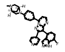 CN1C[C@@H]2C[C@H]1CN2c1ccc(-c2ccnc3c(-c4ccc(F)c5[nH]ncc45)c(-c4ccncc4)nn23)cc1